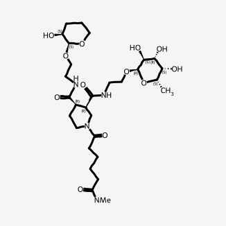 CNC(=O)CCCCC(=O)N1CC[C@@H](C(=O)NCCO[C@@H]2OCCC[C@@H]2O)[C@@H](C(=O)NCCO[C@@H]2O[C@@H](C)[C@@H](O)[C@@H](O)[C@@H]2O)C1